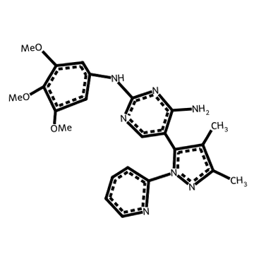 COc1cc(Nc2ncc(-c3c(C)c(C)nn3-c3ccccn3)c(N)n2)cc(OC)c1OC